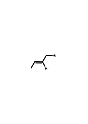 CC=C(Br)CBr